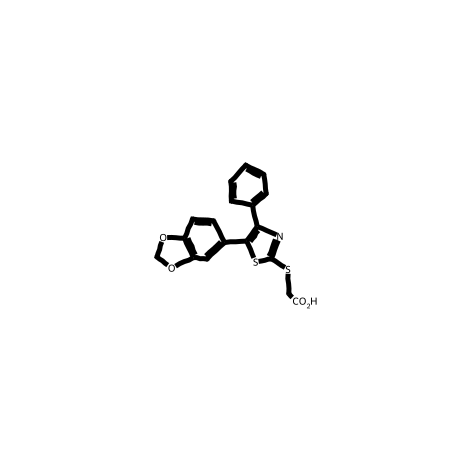 O=C(O)CSc1nc(-c2ccccc2)c(-c2ccc3c(c2)OCO3)s1